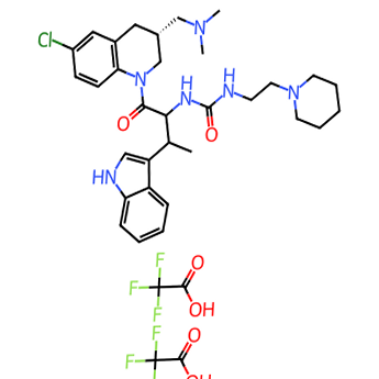 CC(c1c[nH]c2ccccc12)C(NC(=O)NCCN1CCCCC1)C(=O)N1C[C@@H](CN(C)C)Cc2cc(Cl)ccc21.O=C(O)C(F)(F)F.O=C(O)C(F)(F)F